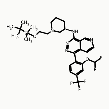 CC(C)(C)[Si](C)(C)OCCN1CCC[C@@H](Nc2nnc(-c3ccc(C(F)(F)F)cc3OC(F)F)c3ccncc23)C1